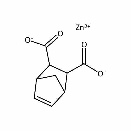 O=C([O-])C1C2C=CC(C2)C1C(=O)[O-].[Zn+2]